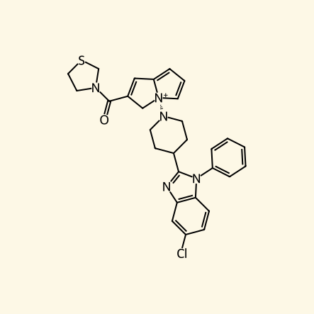 O=C(C1=CC2=CC=C[N@@+]2(N2CCC(c3nc4cc(Cl)ccc4n3-c3ccccc3)CC2)C1)N1CCSC1